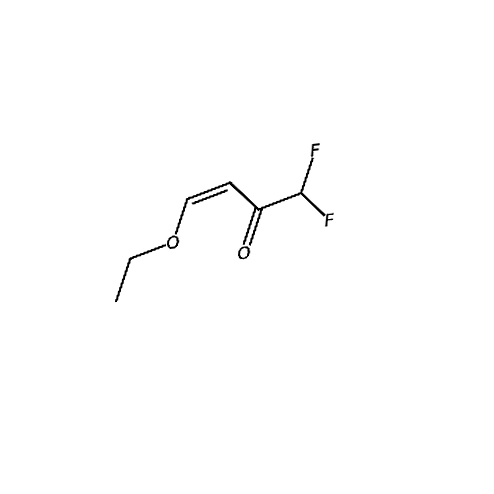 CCO/C=C\C(=O)C(F)F